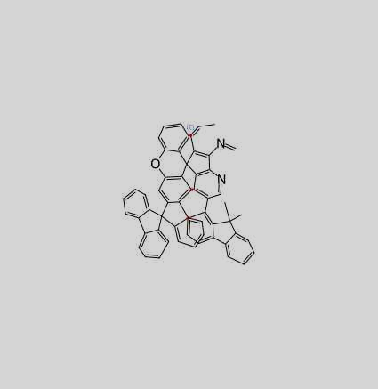 C=NC1=C(/C=C\C)C2(c3ccccc3Oc3cc4c(cc32)-c2ccccc2C42c3ccccc3-c3ccccc32)c2cc(-c3cccc4c3C(C)(C)c3ccccc3-4)cnc21